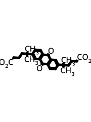 CCOC(=O)CCCC(C)(C)c1ccc2c(c1)C(=O)c1ccc(C(C)(C)CCCC(=O)OCC)cc1C2=O